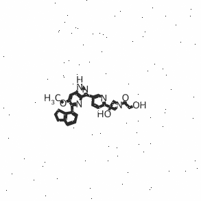 COc1cc2[nH]nc(-c3ccc(C4(O)CN(C(=O)CO)C4)nc3)c2nc1-c1cccc2c1CCC2